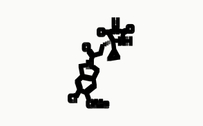 COc1cc2c(cc1Cl)CN(C(=O)CC[C@@]1(C3CC3)NC(=O)NC1=O)C2